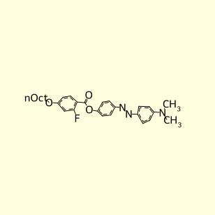 CCCCCCCCOc1ccc(C(=O)Oc2ccc(/N=N/c3ccc(N(C)C)cc3)cc2)c(F)c1